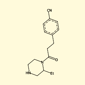 CCC1CNCCN1C(=O)CCc1ccc(C#N)cc1